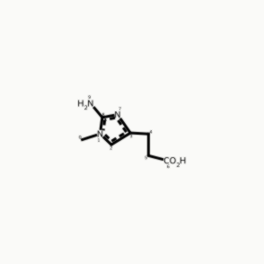 Cn1cc(CCC(=O)O)nc1N